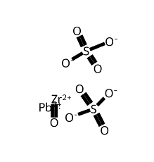 O=S(=O)([O-])[O-].O=S(=O)([O-])[O-].[O]=[Zr+2].[Pb+2]